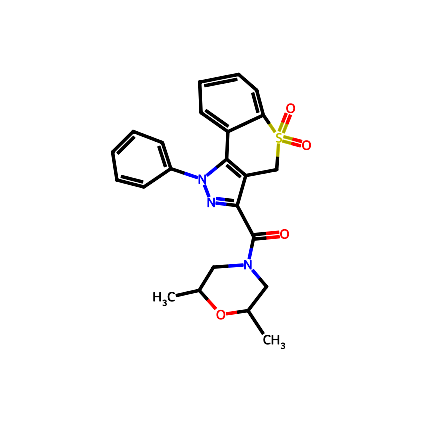 CC1CN(C(=O)c2nn(-c3ccccc3)c3c2CS(=O)(=O)c2ccccc2-3)CC(C)O1